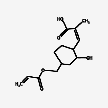 C=CC(=O)OCC1CCC(C=C(C)C(=O)O)C(O)C1